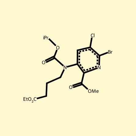 CCOC(=O)CCCN(C(=O)OC(C)C)c1cc(Cl)c(Br)nc1C(=O)OC